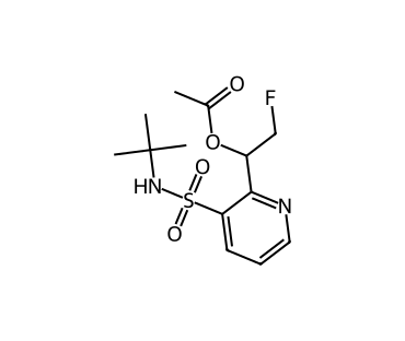 CC(=O)OC(CF)c1ncccc1S(=O)(=O)NC(C)(C)C